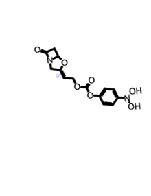 O=C(OC/C=C1/CN2C(=O)CC2O1)Oc1ccc(N(O)O)cc1